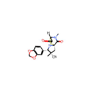 CN1C(=O)[C@@]23C[C@](C)(C#N)[C@H](c4ccc5c(c4)OCO5)N2C(=O)[C@@H]1SS3